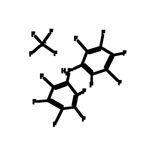 F[B-](F)(F)F.Fc1c(F)c(F)c([PH2+]c2c(F)c(F)c(F)c(F)c2F)c(F)c1F